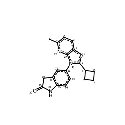 Cc1ccc2nc(C3CCC3)n(-c3ccc4c(c3)CC(=O)N4)c2n1